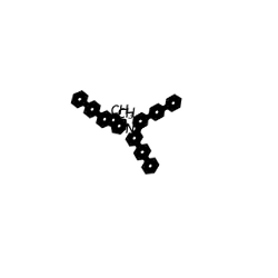 CC1(C)c2cc(-c3ccc(-c4ccccc4)cc3)ccc2-c2ccc(-n3c4ccc(-c5ccc(-c6ccccc6)cc5)cc4c4cc(-c5ccc(-c6ccccc6)cc5)ccc43)cc21